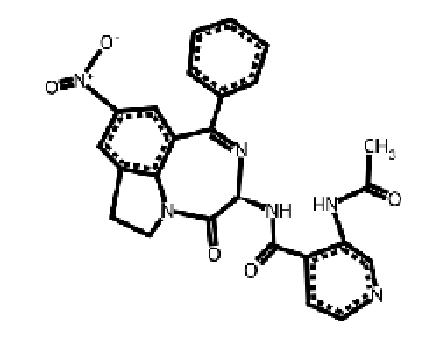 CC(=O)Nc1cnccc1C(=O)N[C@@H]1N=C(c2ccccc2)c2cc([N+](=O)[O-])cc3c2N(CC3)C1=O